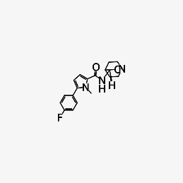 Cn1c(C(=O)N[C@H]2CN3CCC2CC3)ccc1-c1ccc(F)cc1